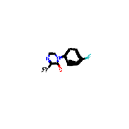 CC(C)c1nccn(-c2ccc(F)cc2)c1=O